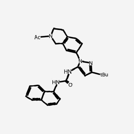 CC(=O)N1CCc2ccc(-n3nc(C(C)(C)C)cc3NC(=O)Nc3cccc4ccccc34)cc2C1